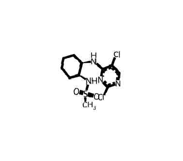 CS(=O)(=O)N[C@H]1CCCC[C@H]1Nc1nc(Cl)ncc1Cl